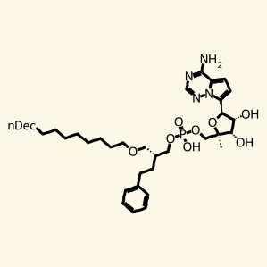 CCCCCCCCCCCCCCCCCCOC[C@@H](CCc1ccccc1)COP(=O)(O)OC[C@@]1(C)O[C@@H](c2ccc3c(N)ncnn23)[C@H](O)[C@@H]1O